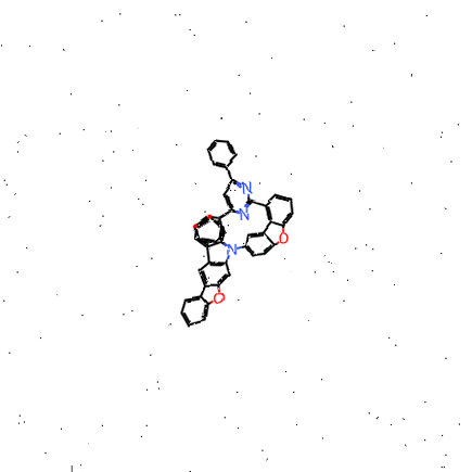 c1ccc(-c2cc(-c3ccccc3)nc(-c3cccc4oc5ccc(-n6c7ccccc7c7cc8c(cc76)oc6ccccc68)cc5c34)n2)cc1